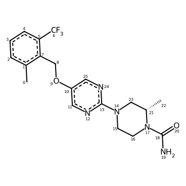 Cc1cccc(C(F)(F)F)c1COc1cnc(N2CCN(C(N)=O)[C@@H](C)C2)nc1